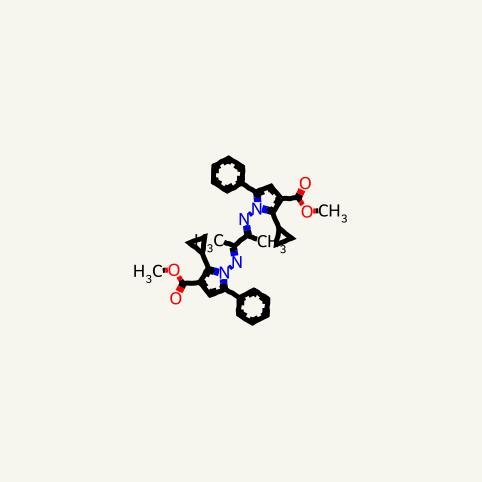 COC(=O)c1cc(-c2ccccc2)n(/N=C(C)/C(C)=N/n2c(-c3ccccc3)cc(C(=O)OC)c2C2CC2)c1C1CC1